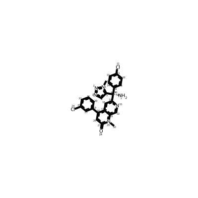 Cn1nncc1[C@@](N)(c1ccc(Cl)cc1)c1cc2c(-c3cccc(Cl)c3)cc(=O)n(C)c2cn1